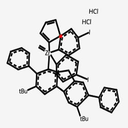 Cl.Cl.[CH2]=[Zr]([C]1=CC=CC1)([c]1ccc(I)cc1)([c]1ccc(I)cc1)[c]1c2c(cc(C(C)(C)C)c1-c1ccccc1)-c1cc(C(C)(C)C)c(-c3ccccc3)cc1C2